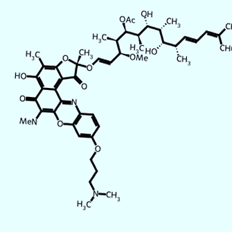 CNc1c2oc3cc(OCCCN(C)C)ccc3nc-2c2c3c(c(C)c(O)c2c1=O)O[C@](C)(O/C=C/[C@H](OC)[C@@H](C)[C@@H](OC(C)=O)[C@H](C)[C@H](O)[C@H](C)[C@@H](O)[C@@H](C)/C=C/C=C(/C)C=O)C3=O